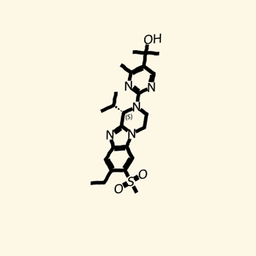 CCc1cc2nc3n(c2cc1S(C)(=O)=O)CCN(c1ncc(C(C)(C)O)c(C)n1)[C@H]3C(C)C